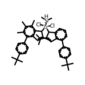 CC1=Cc2c(-c3ccc(C(C)(C)C)cc3)c(C)c(C)c(C)c2[CH]1[Zr]([Cl])([Cl])([CH]1C(C(C)C)=Cc2c(-c3ccc(C(C)(C)C)cc3)cccc21)[SiH](C)C